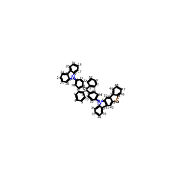 c1ccc([Si](c2ccccc2)(c2ccc(-n3c4ccccc4c4ccccc43)cc2)c2ccc(-n3c4ccccc4c4cc5sc6ccccc6c5cc43)cc2)cc1